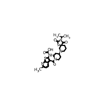 Cc1ccc2c(C(=O)N3CCC(N4CCCC5(C4)SC(=O)N(C(C)C)C5=O)CC3)c(NC(=O)O)sc2n1